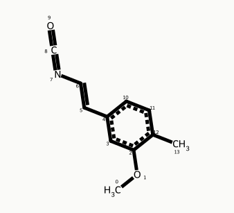 COc1cc(C=CN=C=O)ccc1C